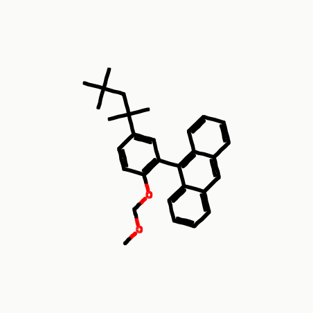 COCOc1ccc(C(C)(C)CC(C)(C)C)cc1-c1c2ccccc2cc2ccccc12